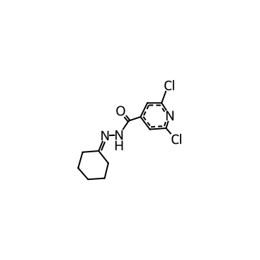 O=C(NN=C1CCCCC1)c1cc(Cl)nc(Cl)c1